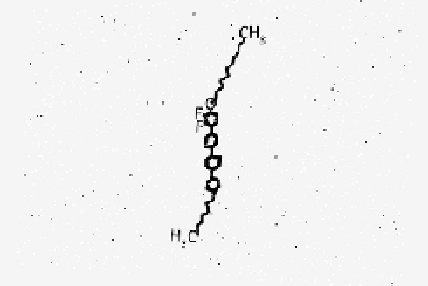 CCCCCCCCCCCCOc1ccc(-c2ccc(-c3ccc(-c4ccc(CCCCCCCC)cc4)cc3)cc2)c(F)c1F